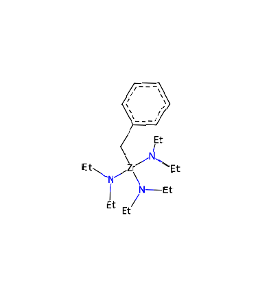 CC[N](CC)[Zr]([CH2]c1ccccc1)([N](CC)CC)[N](CC)CC